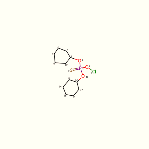 S=P(OCl)(OC1CCCCC1)OC1CCCCC1